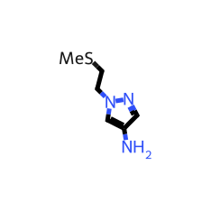 CSCCn1cc(N)cn1